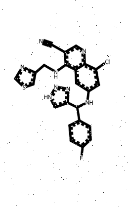 N#Cc1cnc2c(Cl)cc(NC(c3ccc(F)cc3)c3c[nH]nn3)cc2c1NCc1cscn1